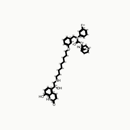 O=C(O[C@H]1CN2CCC1CC2)N(Cc1cccc(OCCCCCCCCCNC[C@H](O)c2ccc(O)c3[nH]c(=O)ccc23)c1)c1cccc(F)c1